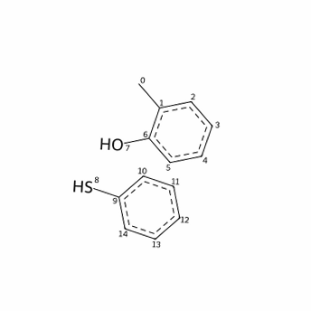 Cc1ccccc1O.Sc1ccccc1